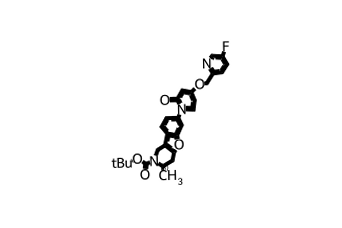 C[C@@H]1Cc2oc3cc(-n4ccc(OCc5ccc(F)cn5)cc4=O)ccc3c2CN1C(=O)OC(C)(C)C